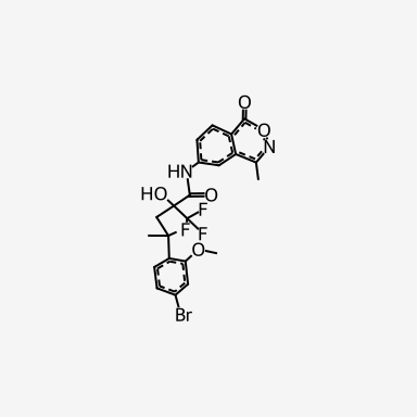 COc1cc(Br)ccc1C(C)(C)CC(O)(C(=O)Nc1ccc2c(=O)onc(C)c2c1)C(F)(F)F